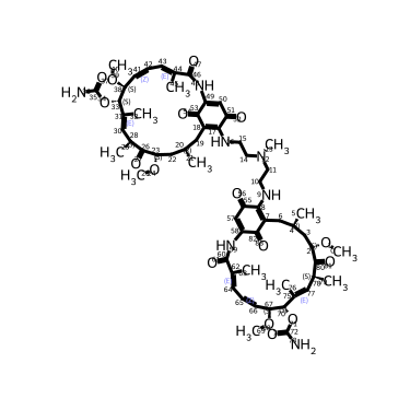 CO[C@H]1C[C@H](C)CC2=C(NCCN(C)CCNC3=C4C[C@@H](C)C[C@H](OC)C(=O)[C@@H](C)/C=C(\C)[C@H](OC(N)=O)[C@@H](OC)/C=C\C=C(/C)C(=O)NC(=CC3=O)C4=O)C(=O)C=C(NC(=O)/C(C)=C/C=C\[C@H](OC)[C@@H](OC(N)=O)/C(C)=C/[C@H](C)C1=O)C2=O